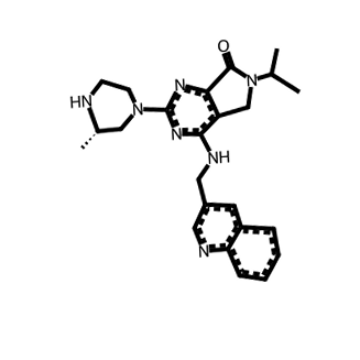 CC(C)N1Cc2c(NCc3cnc4ccccc4c3)nc(N3CCN[C@@H](C)C3)nc2C1=O